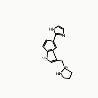 c1c[nH]c(-c2ccc3[nH]cc(C[C@H]4CCCN4)c3c2)n1